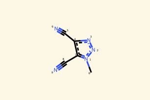 Cn1nnc(C#N)c1C#N